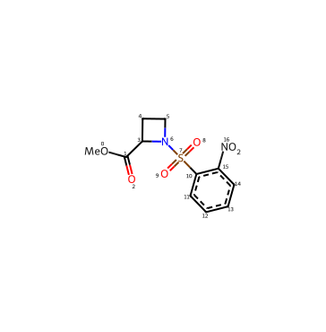 COC(=O)C1CCN1S(=O)(=O)c1ccccc1[N+](=O)[O-]